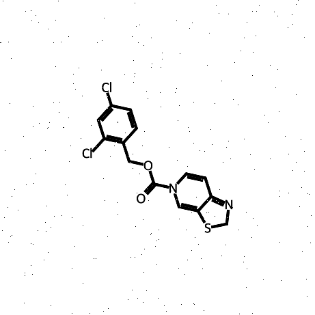 O=C(OCc1ccc(Cl)cc1Cl)N1C=CC2=NCSC2=C1